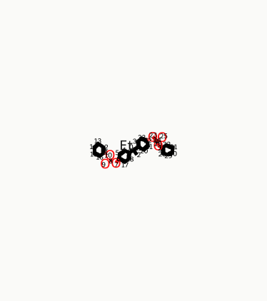 CCC(C)(c1ccc(OC(=O)Oc2ccccc2)cc1)c1ccc(OC(=O)Oc2ccccc2)cc1